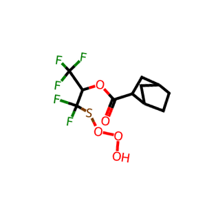 O=C(OC(C(F)(F)F)C(F)(F)SOOO)C1CC2CCC1C2